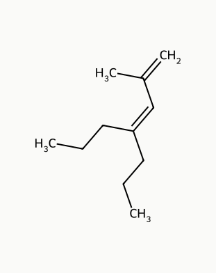 C=C(C)C=C(CCC)CCC